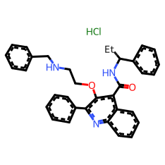 CCC(NC(=O)c1c(OCCNCc2ccccc2)c(-c2ccccc2)nc2ccccc12)c1ccccc1.Cl